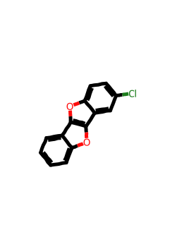 Clc1ccc2oc3c4ccccc4oc3c2c1